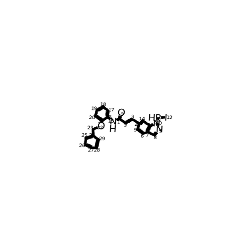 O=C(/C=C/c1ccc2cnn(PI)c2c1)Nc1ccccc1OCc1ccccc1